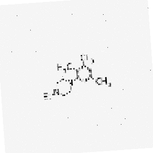 CCN1CCN(c2cc(C)cc(C(F)(F)F)c2C)CC1